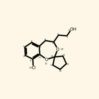 OCCC1Cc2cccc(Cl)c2OC2(CCCC2)O1